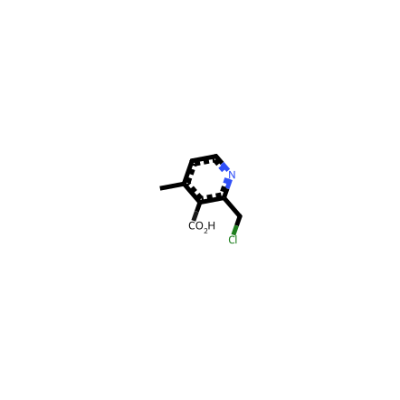 Cc1ccnc(CCl)c1C(=O)O